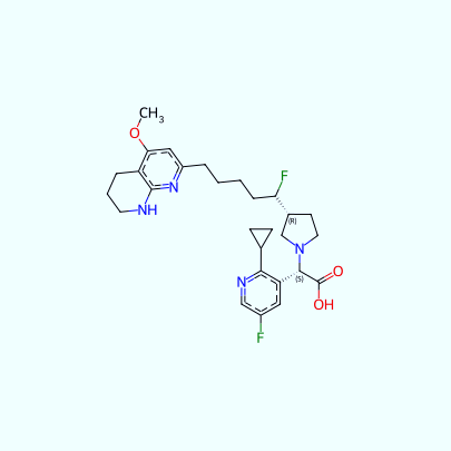 COc1cc(CCCCC(F)[C@@H]2CCN([C@H](C(=O)O)c3cc(F)cnc3C3CC3)C2)nc2c1CCCN2